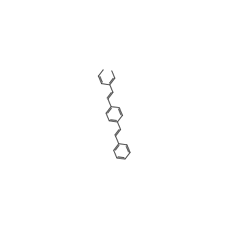 C\C=C/C(/C=C/c1ccc(/C=C/c2ccccc2)cc1)=C\C